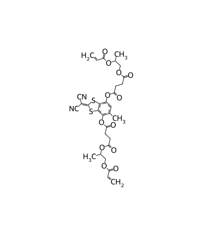 C=CC(=O)OCC(C)OC(=O)CCC(=O)Oc1c(C)cc(OC(=O)CCC(=O)OCC(C)OC(=O)C=C)c2c1SC(=C(C#N)C#N)S2